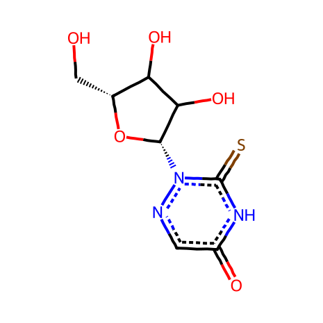 O=c1cnn([C@@H]2O[C@H](CO)C(O)C2O)c(=S)[nH]1